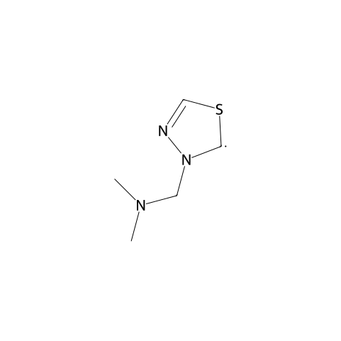 CN(C)CN1[CH]SC=N1